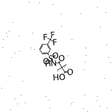 CC(C)(C(=O)O)C(=O)NS(=O)(=O)c1cccc(C(F)(F)F)c1